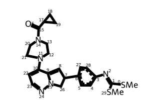 CSC(=Nc1ccc(C2C=C3C(N4CCN(C(=O)C5CC5)CC4)=CC=NN3C2)cc1)SC